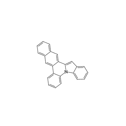 c1ccc2cc3c(cc2c1)c1ccccc1n1c2ccccc2cc31